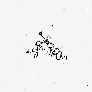 CC(C)(C#N)c1cccc(-n2c3nc(Nc4ccc5c(c4)CCNC5)ncc3c(=O)n2C2CC2)n1